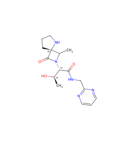 CC1N([C@H](C(=O)NCc2ncccn2)[C@@H](C)O)C(=O)[C@@]12CCCN2